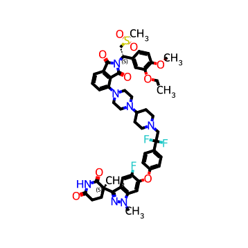 CCOc1cc([C@@H](CS(C)(=O)=O)N2C(=O)c3cccc(N4CCN(C5CCN(CC(F)(F)c6ccc(Oc7cc8c(cc7F)c([C@]7(C)CCC(=O)NC7=O)nn8C)cc6)CC5)CC4)c3C2=O)ccc1OC